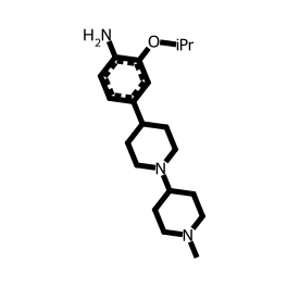 CC(C)Oc1cc(C2CCN(C3CCN(C)CC3)CC2)ccc1N